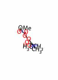 COC(=O)/C=C/C(=O)OCCOC(=O)C[C@@H](O)C[N+](C)(C)C